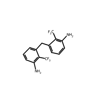 Nc1cccc(Cc2cccc(N)c2C(F)(F)F)c1C(F)(F)F